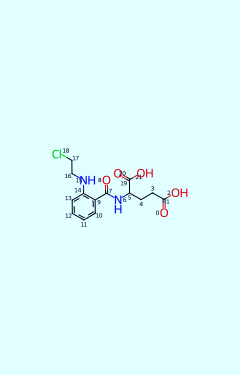 O=C(O)CCC(NC(=O)c1ccccc1NCCCl)C(=O)O